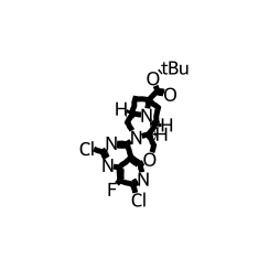 CC(C)(C)OC(=O)C12C[C@H]3CN4c5nc(Cl)nc6c(F)c(Cl)nc(c56)OC[C@@H]4[C@@H](C1)N32